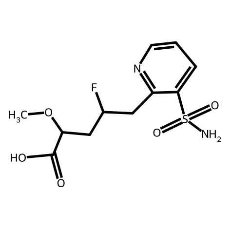 COC(CC(F)Cc1ncccc1S(N)(=O)=O)C(=O)O